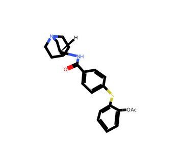 CC(=O)Oc1ccccc1Sc1ccc(C(=O)N[C@H]2CN3CCC2CC3)cc1